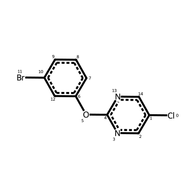 Clc1cnc(Oc2cccc(Br)c2)nc1